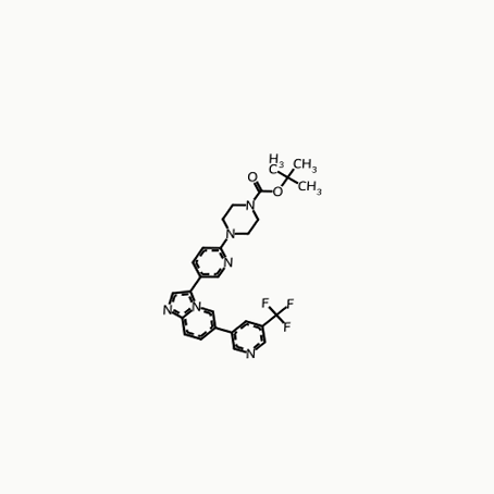 CC(C)(C)OC(=O)N1CCN(c2ccc(-c3cnc4ccc(-c5cncc(C(F)(F)F)c5)cn34)cn2)CC1